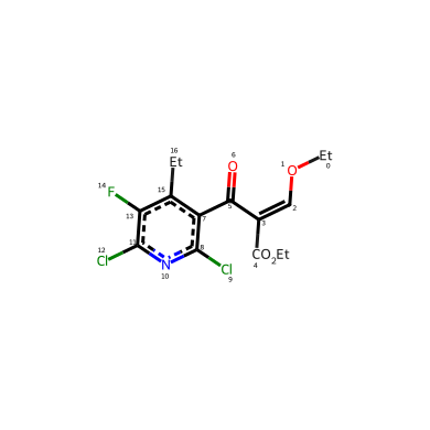 CCO/C=C(/C(=O)OCC)C(=O)c1c(Cl)nc(Cl)c(F)c1CC